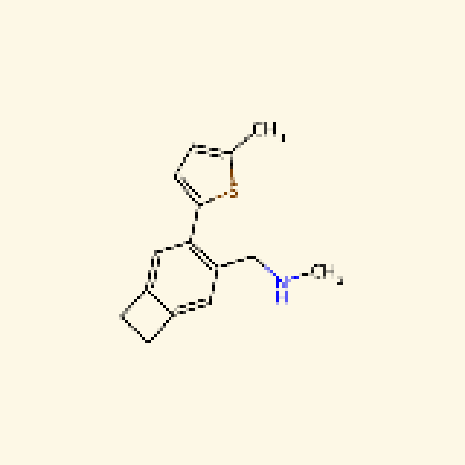 CNCc1cc2c(cc1-c1ccc(C)s1)CC2